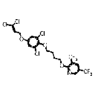 FC(F)(F)c1cnc(OCCCCOc2c(Cl)cc(OCC=C(Cl)Cl)cc2Cl)c(C(F)(F)F)c1